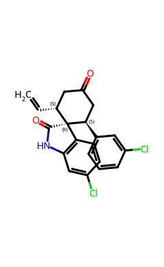 C=C[C@@H]1CC(=O)C[C@@H](c2cccc(Cl)c2)[C@]12C(=O)Nc1cc(Cl)ccc12